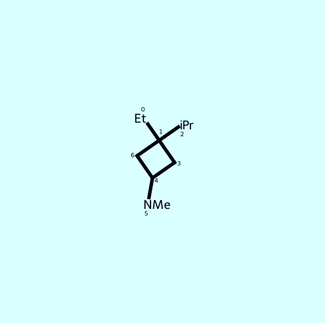 CCC1(C(C)C)CC(NC)C1